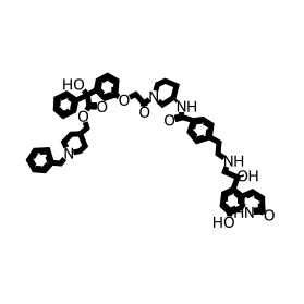 O=C(N[C@@H]1CCCN(C(=O)COc2cccc(C(O)(C(=O)OCC3CCN(Cc4ccccc4)CC3)c3ccccc3)c2)C1)c1ccc(CCNC[C@H](O)c2ccc(O)c3[nH]c(=O)ccc23)cc1